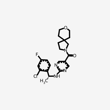 C[C@@H](Nc1ncc(C(=O)N2CCC3(CCOCC3)C2)cn1)c1ccc(F)cc1Cl